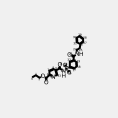 CCCOC(=O)c1ccc(C(=O)NS(=O)(=O)c2cccc(C(=O)NCCc3ccccc3)c2)cn1